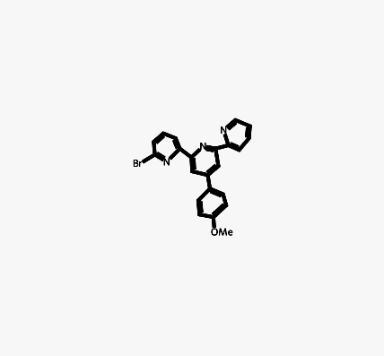 COc1ccc(-c2cc(-c3ccccn3)nc(-c3cccc(Br)n3)c2)cc1